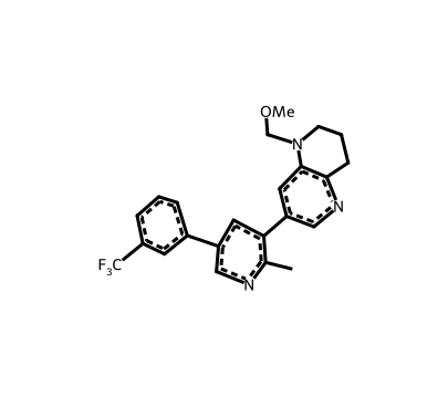 COCN1CCCc2ncc(-c3cc(-c4cccc(C(F)(F)F)c4)cnc3C)cc21